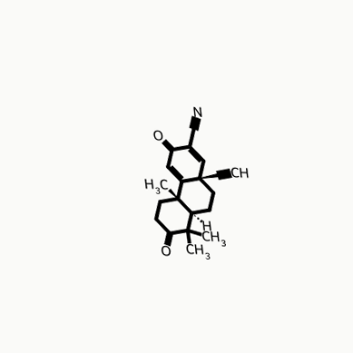 C#C[C@]12C=C(C#N)C(=O)C=C1[C@@]1(C)CCC(=O)C(C)(C)[C@@H]1CC2